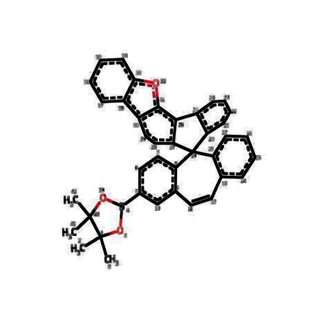 CC1(C)OB(c2ccc3c(c2)C=Cc2ccccc2C32c3ccccc3-c3c2ccc2c3oc3ccccc32)OC1(C)C